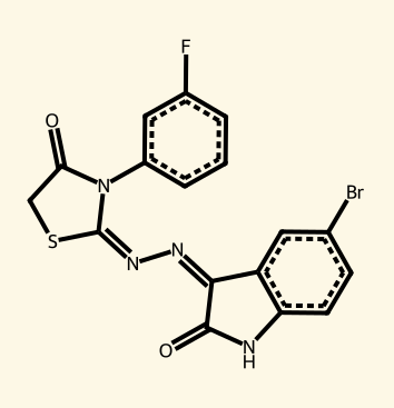 O=C1Nc2ccc(Br)cc2C1=NN=C1SCC(=O)N1c1cccc(F)c1